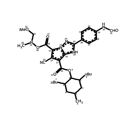 CCCCC1CC(C)CC(CCCC)C1OC(=O)c1c(C#N)c(C(=O)ON(C)COC)n2nc(-c3ccc(NC=O)cc3)[nH]c12